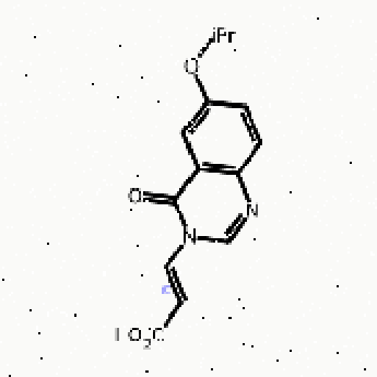 CC(C)Oc1ccc2ncn(/C=C/C(=O)O)c(=O)c2c1